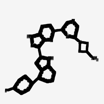 NC1CN(c2cncc(-c3ccc4[nH]nc(-c5cc6c(-c7ccc(F)cc7)cccc6[nH]5)c4n3)n2)C1